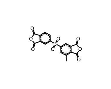 Cc1cc(S(=O)(=O)c2ccc3c(c2)C(=O)OC3=O)cc2c1C(=O)OC2=O